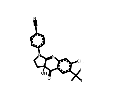 Cc1cc2c(cc1C(I)(I)I)C(=O)[C@]1(O)CCN(c3ccc(C#N)cc3)C1=N2